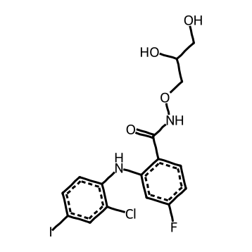 O=C(NOCC(O)CO)c1ccc(F)cc1Nc1ccc(I)cc1Cl